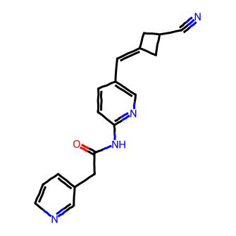 N#CC1CC(=Cc2ccc(NC(=O)Cc3cccnc3)nc2)C1